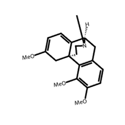 COC1=CC=C2[C@H]3Cc4ccc(OC)c(OC)c4[C@@]2(CCN3C)C1